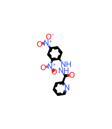 O=C(NNc1ccc([N+](=O)[O-])cc1[N+](=O)[O-])c1ccccn1